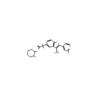 Cc1cc(-c2[nH]c3ccc(C(C)(C)C(=O)NC4CCCCC4N)cc3c2C(C)C)ccn1